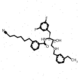 CCc1cccc(CNC[C@H](O)[C@H](Cc2cc(F)cc(F)c2)NC(=O)c2cccc(CCCCCCC#N)c2)c1